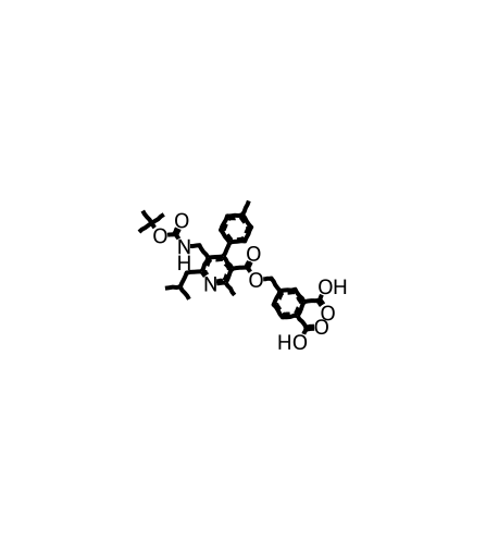 Cc1ccc(-c2c(CNC(=O)OC(C)(C)C)c(CC(C)C)nc(C)c2C(=O)OCc2ccc(C(=O)O)c(C(=O)O)c2)cc1